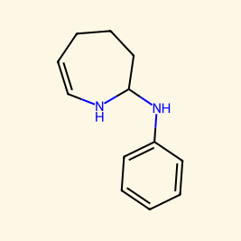 C1=CNC(Nc2ccccc2)CCC1